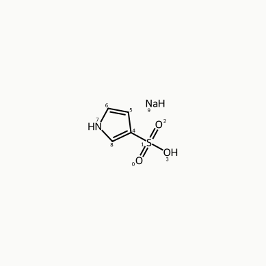 O=S(=O)(O)c1cc[nH]c1.[NaH]